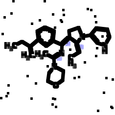 C=C(CC)c1cccc(C(/N=C(\C)N2CCOCC2)=C2\CCN(C3=CNCC=C3)\C2=C\C)c1